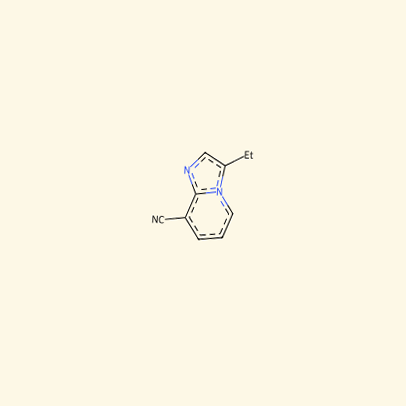 CCc1cnc2c(C#N)cccn12